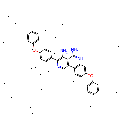 N=C(N)c1c(-c2ccc(Oc3ccccc3)cc2)cnc(-c2ccc(Oc3ccccc3)cc2)c1N